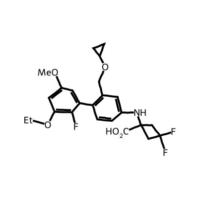 CCOc1cc(OC)cc(-c2ccc(NC3(C(=O)O)CC(F)(F)C3)cc2COC2CC2)c1F